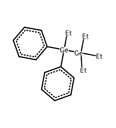 C[CH2][Ge]([CH2]C)([CH2]C)[Ge]([CH2]C)([c]1ccccc1)[c]1ccccc1